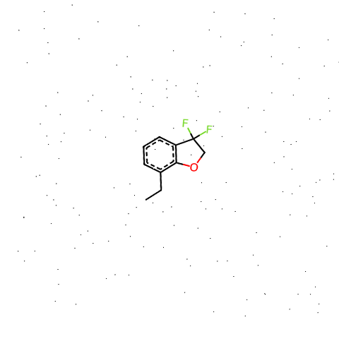 CCc1cccc2c1OCC2(F)F